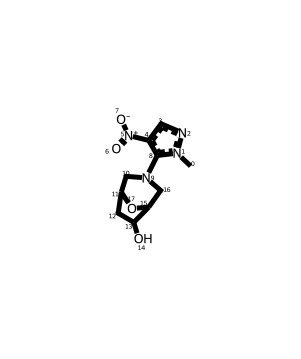 Cn1ncc([N+](=O)[O-])c1N1CC2CC(O)C(C1)O2